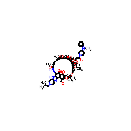 CO[C@H]1/C=C/OC(C)(C)Oc2c(C)c(O)c3c(c2C=O)C2=NC4(CCN(CC(C)C)CC4)NC2=C(NC(=O)/C(C)=C\C=C\[C@H](C)[C@H](O)[C@@H](C)[C@@H](O)[C@@H](C)[C@H](OC(=O)CC(=O)N2CCC(N(C)c4ccccc4)CC2)[C@@H]1C)C3=O